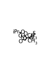 CC(C)C(=O)ON1C(=O)CC(C(C)(C)N=C=S)C1=O